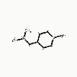 CCCN(C)CC1CCN(CCC)CC1